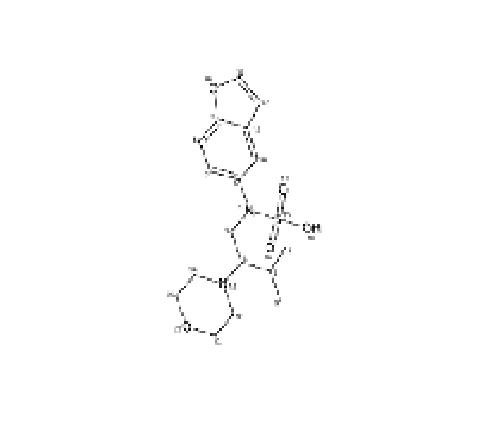 CC(C)C(CN(c1ccc2occc2c1)S(=O)(=O)O)N1CCOCC1